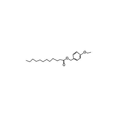 CCCCCCCCCCCC(=O)OCc1ccc(OCC)cc1